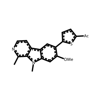 COc1cc2c(cc1-c1ccc(C(C)=O)s1)c1ccnc(C)c1n2C